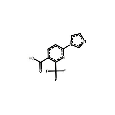 O=C(O)c1ccc(-n2ccnc2)nc1C(F)(F)F